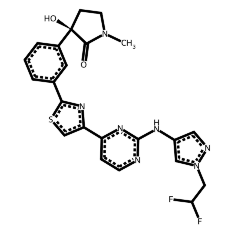 CN1CC[C@@](O)(c2cccc(-c3nc(-c4ccnc(Nc5cnn(CC(F)F)c5)n4)cs3)c2)C1=O